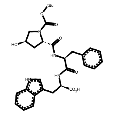 CC(C)(C)OC(=O)N1C[C@H](O)C[C@H]1C(=O)N[C@@H](Cc1ccccc1)C(=O)N[C@H](Cc1c[nH]c2ccccc12)C(=O)O